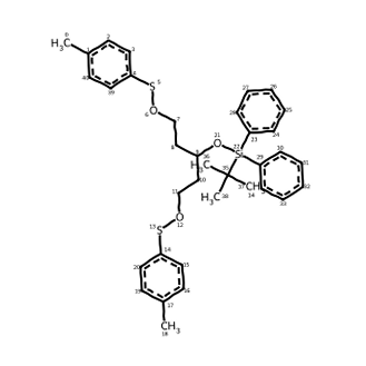 Cc1ccc(SOCCC(CCOSc2ccc(C)cc2)O[Si](c2ccccc2)(c2ccccc2)C(C)(C)C)cc1